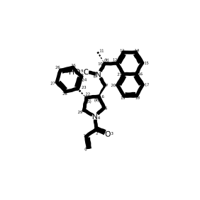 C=CC(=O)N1C[C@H](CN(C(=O)O)[C@H](C)c2cccc3ccccc23)[C@@H](c2ccccc2)C1